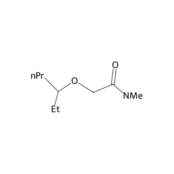 CCCC(CC)OCC(=O)NC